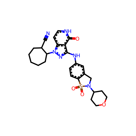 N#CC1CCCCCC1n1nc(Nc2ccc3c(c2)CN(C2CCOCC2)S3(=O)=O)c2c(=O)[nH]ccc21